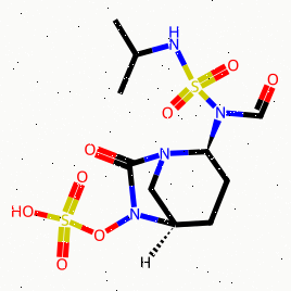 CC(C)NS(=O)(=O)N(C=O)[C@H]1CC[C@@H]2CN1C(=O)N2OS(=O)(=O)O